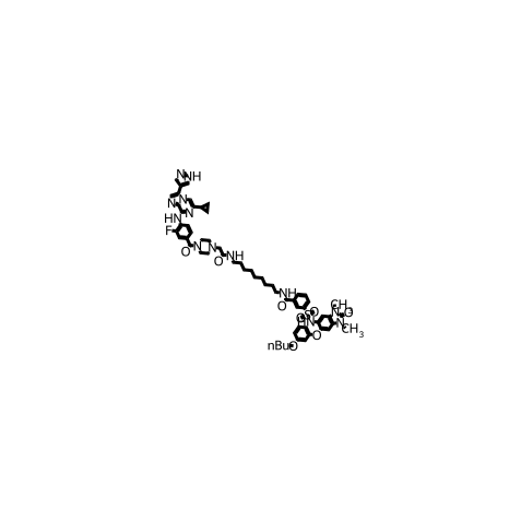 CCCCOc1cccc(Oc2cc3c(cc2NS(=O)(=O)c2cccc(C(=O)NCCCCCCCCCNC(=O)CN4CCN(C(=O)c5ccc(Nc6nc(C7CC7)cn7c(-c8cn[nH]c8)cnc67)c(F)c5)CC4)c2)n(C)c(=O)n3C)c1